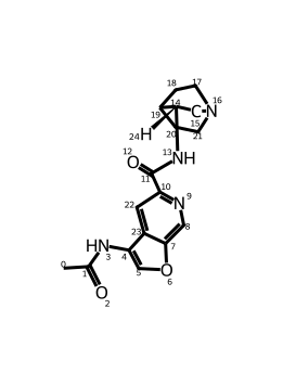 CC(=O)Nc1coc2cnc(C(=O)N[C@H]3CN4CCC3CC4)cc12